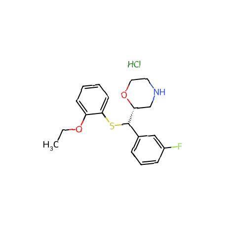 CCOc1ccccc1SC(c1cccc(F)c1)[C@H]1CNCCO1.Cl